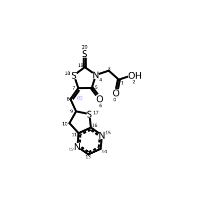 O=C(O)CN1C(=O)/C(=C\C2Cc3nccnc3S2)SC1=S